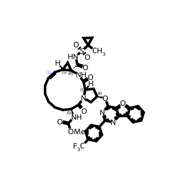 COC(=O)N[C@H]1CCCCC/C=C\[C@@H]2C[C@@]2(C(=O)NS(=O)(=O)C2(C)CC2)NC(=O)[C@@H]2C[C@@H](Oc3nc(-c4ccc(C(F)(F)F)cc4)nc4c3oc3ccccc34)CN2C1=O